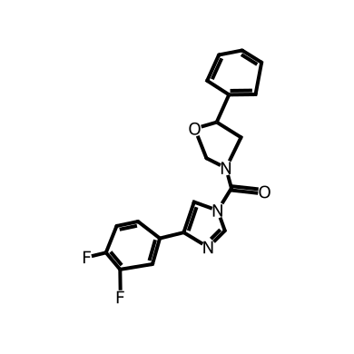 O=C(N1COC(c2ccccc2)C1)n1cnc(-c2ccc(F)c(F)c2)c1